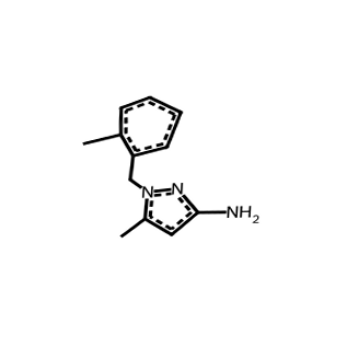 Cc1ccccc1Cn1nc(N)cc1C